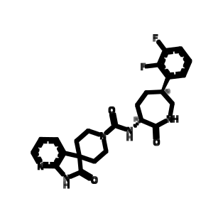 O=C1NC[C@H](c2cccc(F)c2F)CC[C@H]1NC(=O)N1CCC2(CC1)C(=O)Nc1ncccc12